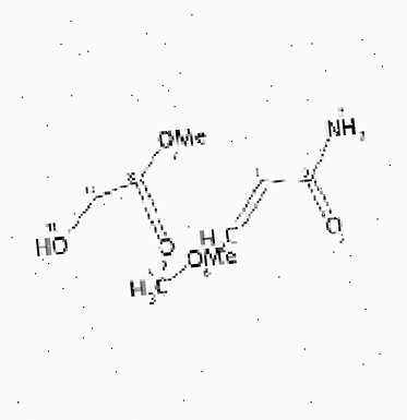 C=CC(N)=O.COC.COC(=O)CO